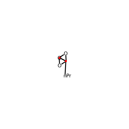 CCCC1OC23OC12O3